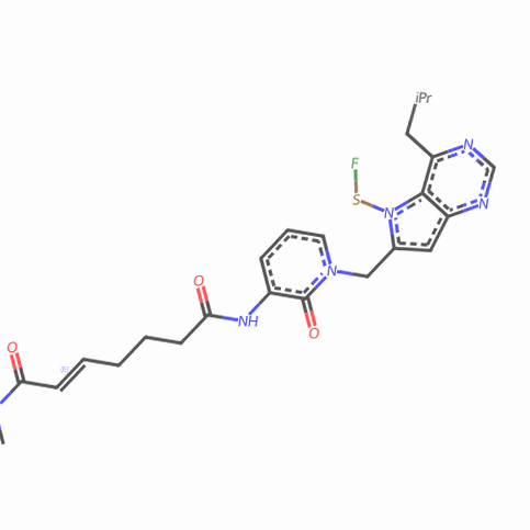 CC(C)Cc1ncnc2cc(Cn3cccc(NC(=O)CCC/C=C/C(=O)N(C)C)c3=O)n(SF)c12